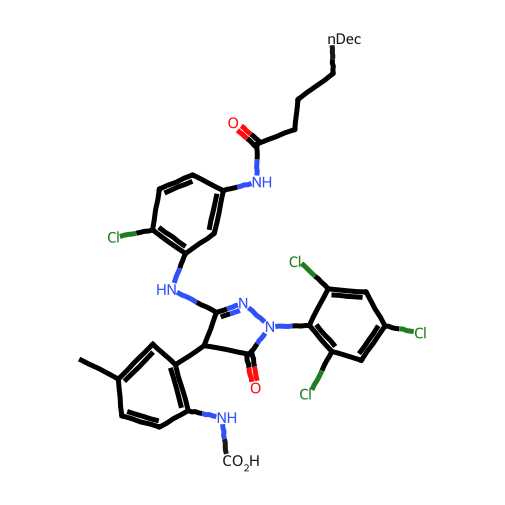 CCCCCCCCCCCCCC(=O)Nc1ccc(Cl)c(NC2=NN(c3c(Cl)cc(Cl)cc3Cl)C(=O)C2c2cc(C)ccc2NC(=O)O)c1